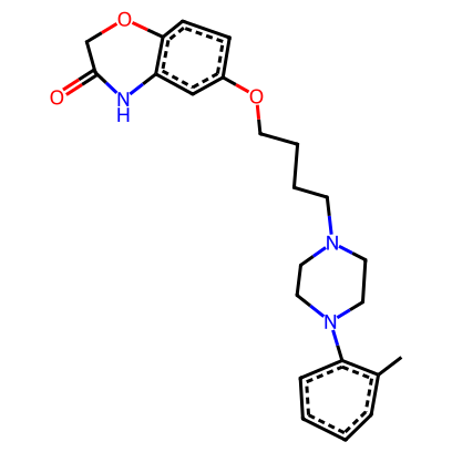 Cc1ccccc1N1CCN(CCCCOc2ccc3c(c2)NC(=O)CO3)CC1